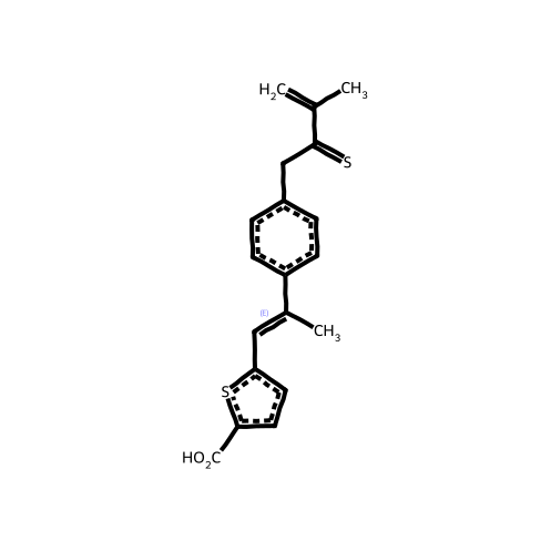 C=C(C)C(=S)Cc1ccc(/C(C)=C/c2ccc(C(=O)O)s2)cc1